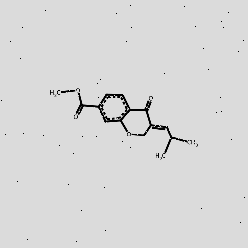 COC(=O)c1ccc2c(c1)OCC(=CC(C)C)C2=O